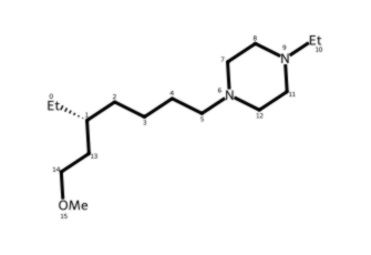 CC[C@H](CCCCN1CCN(CC)CC1)CCOC